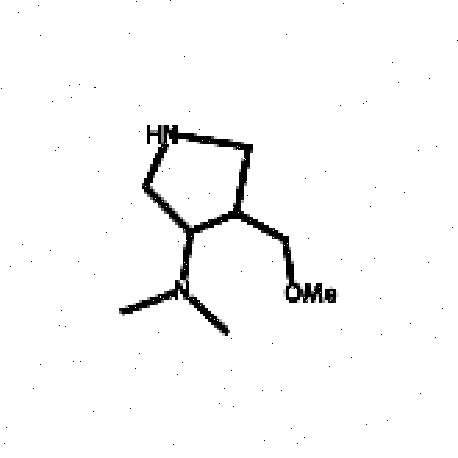 COCC1CNCC1N(C)C